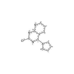 Clc1nc(-c2ccco2)c2cccnc2n1